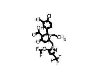 CCn1c(Cn2nc(C(F)(F)F)cc2OC(F)F)cc(=O)c(C(=O)O)c1-c1ccc(Cl)c(Cl)c1